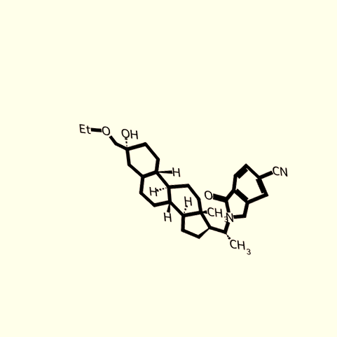 CCOC[C@@]1(O)CC[C@H]2C(CC[C@@H]3[C@@H]2CC[C@]2(C)[C@@H]([C@@H](C)N4Cc5cc(C#N)ccc5C4=O)CC[C@@H]32)C1